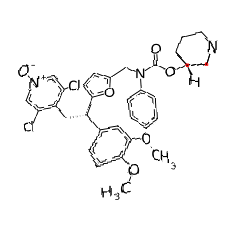 COc1ccc([C@H](Cc2c(Cl)c[n+]([O-])cc2Cl)c2ccc(CN(C(=O)O[C@H]3CN4CCC3CC4)c3ccccc3)o2)cc1OC